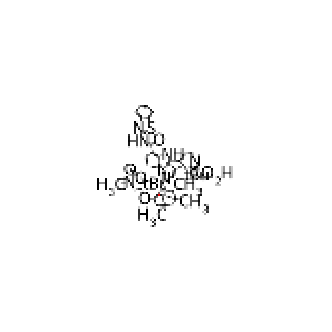 Cc1c(C2(C(C)(C)C)C(c3cc4cccc(C(=O)Nc5nc6ccccc6s5)c4[nH]3)=CC=NC2C(=O)O)cnn1CC12CC3(C)CC(C)(C1)CC(OCCN(C)C(=O)OC(C)(C)C)(C3)C2